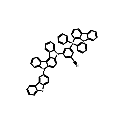 N#Cc1cc(-n2c3ccccc3c3c4c5ccccc5n(-c5ccc6sc7ccccc7c6c5)c4ccc32)cc(S(c2ccccc2)(c2ccccc2)c2cccc3c2sc2ccccc23)c1